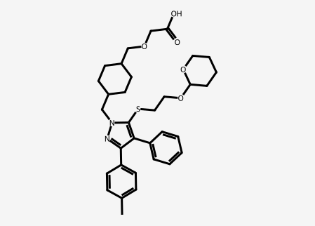 Cc1ccc(-c2nn(CC3CCC(COCC(=O)O)CC3)c(SCCOC3CCCCO3)c2-c2ccccc2)cc1